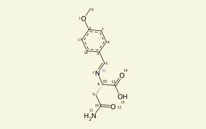 COc1ccc(/C=N/[C@@H](CC(N)=O)C(=O)O)cc1